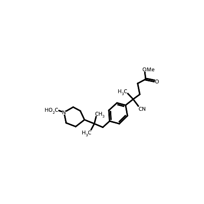 COC(=O)CCC(C)(C#N)c1ccc(CC(C)(C)C2CCN(C(=O)O)CC2)cc1